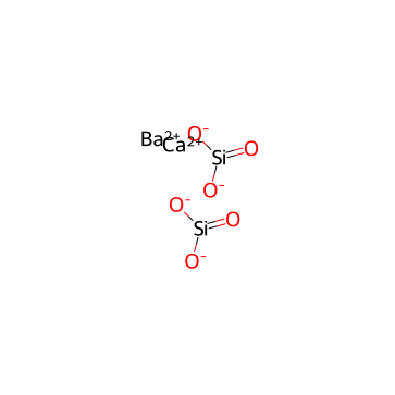 O=[Si]([O-])[O-].O=[Si]([O-])[O-].[Ba+2].[Ca+2]